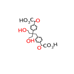 O=C(O)C(=O)c1ccc(CC(CCO)(CCO)c2ccc(C(=O)C(=O)O)cc2)cc1